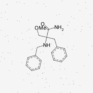 COCC(Cc1ccccc1)(NCc1ccccc1)C(N)=O